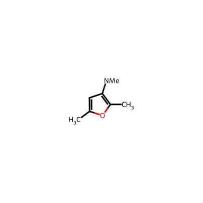 CNc1cc(C)oc1C